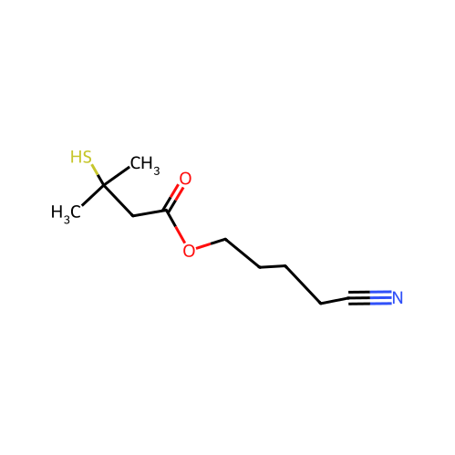 CC(C)(S)CC(=O)OCCCCC#N